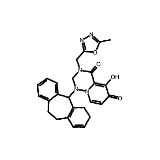 Cc1nnc(CN2CN(C3C4=C(C=CCC4)CCc4ccccc43)n3ccc(=O)c(O)c3C2=O)o1